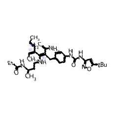 C=C(N)\C(Cc1ccc(NC(=O)Nc2cc(C(C)(C)C)on2)cc1)=C(NCCC(C)NC(=O)CC)/C(=C\C)/C=C/C